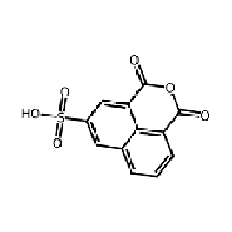 O=C1OC(=O)c2cc(S(=O)(=O)O)cc3cccc1c23